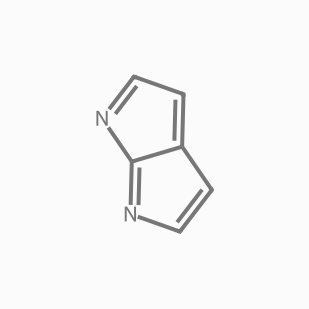 C1=CC2=CC=NC2=N1